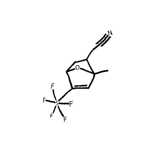 CC12C=C(S(F)(F)(F)(F)F)C(CC1C#N)O2